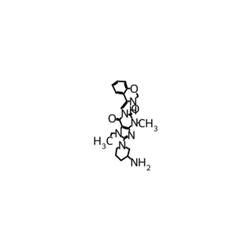 CCn1c(N2CCCC(N)C2)nc2c1c(=O)n(/C=C1\NCOc3ccccc31)c(=O)n2C